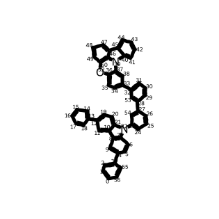 c1ccc(-c2ccc3c(c2)c2cc(-c4ccccc4)ccc2n3-c2cccc(-c3cccc(-c4ccc5c(c4)-n4c6ccccc6c6cccc(c64)O5)c3)c2)cc1